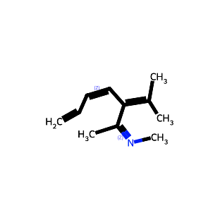 C=C/C=C\C(=C(C)C)/C(C)=N\C